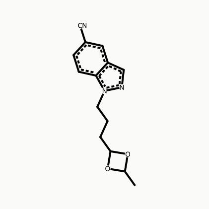 CC1OC(CCCn2ncc3cc(C#N)ccc32)O1